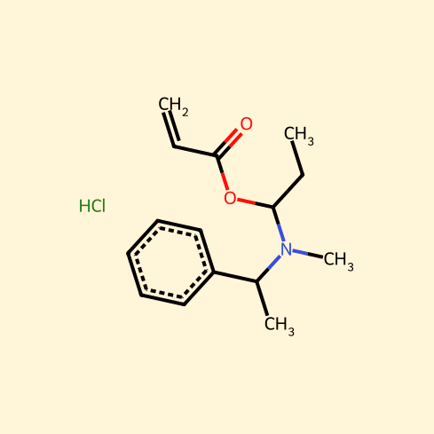 C=CC(=O)OC(CC)N(C)C(C)c1ccccc1.Cl